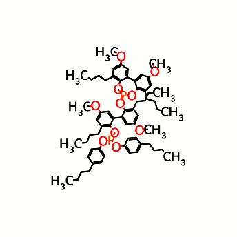 CCCCc1ccc(OP(Oc2ccc(CCCC)cc2)Oc2c(CCCC)cc(OC)cc2-c2cc(OC)cc(CCCC)c2Op2oc3c(CCCC)cc(OC)cc3c3cc(OC)cc(CCCC)c3o2)cc1